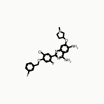 CN1CCC(Oc2cc3nc(-c4cc(Cl)c(OCc5cccc(F)c5)cc4F)nc(N)c3cc2N)C1